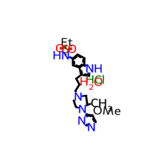 CCS(=O)(=O)Nc1ccc2[nH]cc(CCCN3CCN(c4ncncc4OC)C(C)C3)c2c1.Cl.O